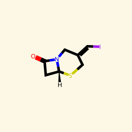 O=C1C[C@H]2SCC(=CI)CN12